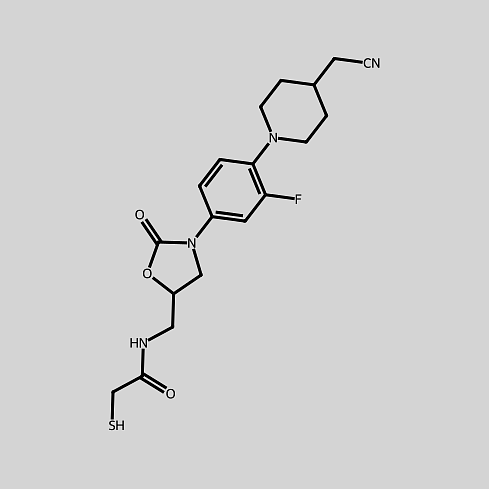 N#CCC1CCN(c2ccc(N3CC(CNC(=O)CS)OC3=O)cc2F)CC1